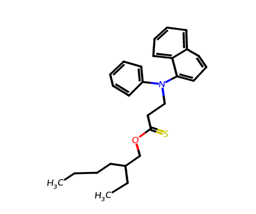 CCCCC(CC)COC(=S)CCN(c1ccccc1)c1cccc2ccccc12